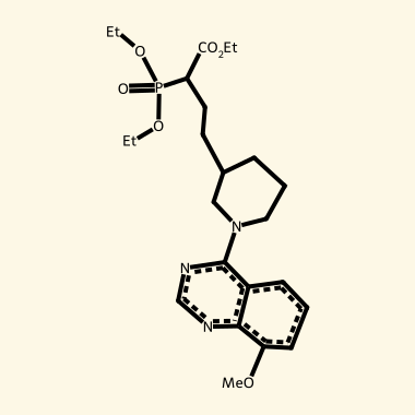 CCOC(=O)C(CCC1CCCN(c2ncnc3c(OC)cccc23)C1)P(=O)(OCC)OCC